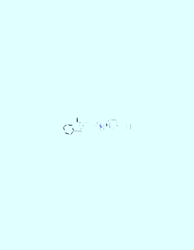 O=C1c2ccccc2C(=O)N1CO/N=[N+](\[O-])N1CCC(O)C1